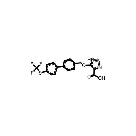 O=C(O)c1nn[nH]c1OCc1ccc(-c2ccc(SC(F)(F)F)cc2)cc1